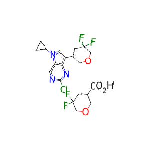 FC1(F)COCC(c2cn(C3CC3)c3cnc(Cl)nc23)C1.O=C(O)C1COCC(F)(F)C1